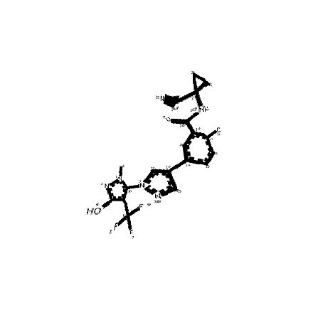 Cn1nc(O)c(C(F)(F)F)c1-n1cc(-c2ccc(Cl)c(C(=O)NC3(C#N)CC3)c2)cn1